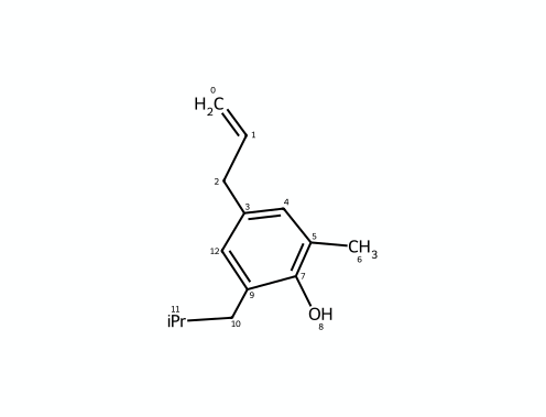 C=CCc1cc(C)c(O)c(CC(C)C)c1